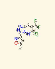 Cc1cc(-c2nnc3cc(C(F)F)c(Cl)nn23)no1